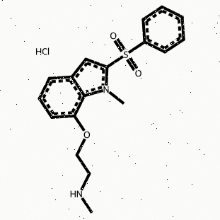 CNCCOc1cccc2cc(S(=O)(=O)c3ccccc3)n(C)c12.Cl